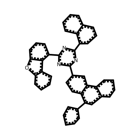 c1ccc(-c2cc3ccccc3c3cc(-c4nc(-c5cccc6ccccc56)nc(-c5cccc6oc7ccccc7c56)n4)ccc23)cc1